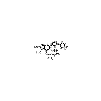 Cc1c2c(OC(C)[C@H]3CNC(=O)C3)cc(-c3cnn(C4CCC(F)(F)C4)c3)cc2nn1C